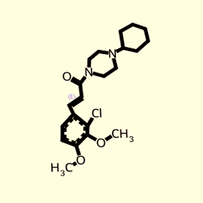 COc1ccc(/C=C/C(=O)N2CCN(C3CCCCC3)CC2)c(Cl)c1OC